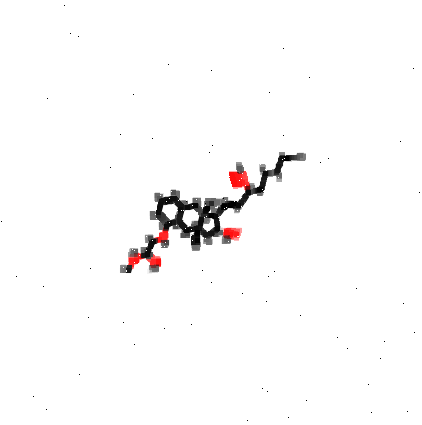 CCCCC[C@H](O)/C=C/[C@@H]1[C@H]2Cc3cccc(OCC(=O)OC)c3C[C@H]2C[C@H]1O